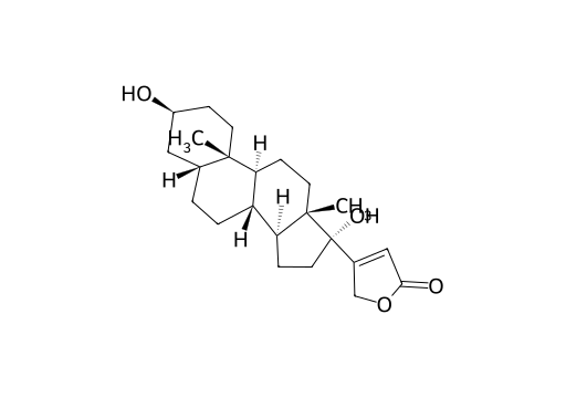 C[C@]12CC[C@H](O)C[C@H]1CC[C@@H]1[C@@H]2CC[C@@]2(C)[C@H]1CC[C@]2(O)C1=CC(=O)OC1